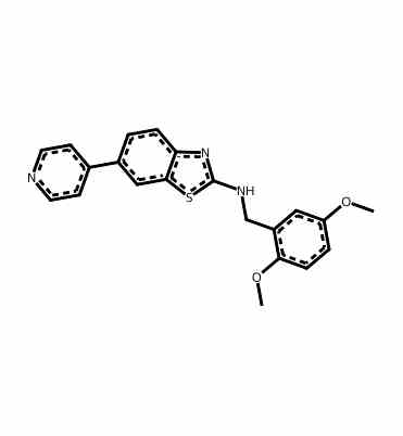 COc1ccc(OC)c(CNc2nc3ccc(-c4ccncc4)cc3s2)c1